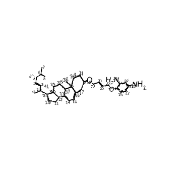 CC(/C=C/[C@H](C)C(C)C)C1CCC2C3=CC=C4CC(OC/C=C/COc5ccc(N)cc5N)CC[C@@]4(C)C3CC[C@@]21C